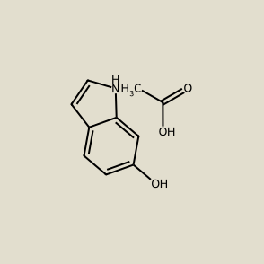 CC(=O)O.Oc1ccc2cc[nH]c2c1